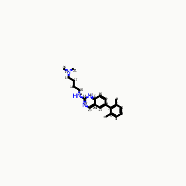 Cc1cccc(C)c1-c1ccc2nc(NCCCCN(C)C)ncc2c1